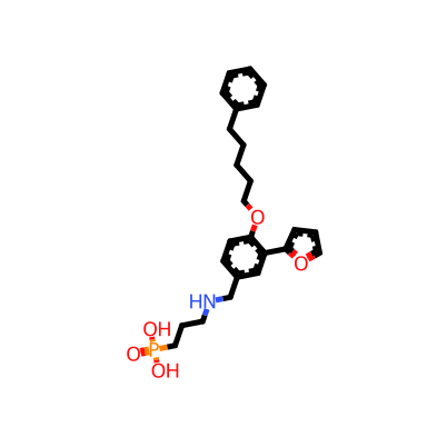 O=P(O)(O)CCCNCc1ccc(OCCCCCc2ccccc2)c(-c2ccco2)c1